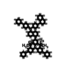 CC1(C)c2cc(-c3ccccc3)ccc2N2c3ccc(-c4ccccc4)cc3C(C)(C)c3cc(-c4cccc5c(N(c6ccc(-c7ccccc7)cc6)c6ccc(-c7cccc8ccccc78)cc6)cccc45)cc1c32